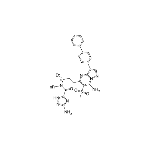 CCCN(C(=O)c1nc(N)n[nH]1)[C@H](CC)CCc1nc2c(-c3ccc(-c4ccccc4)nc3)cnn2c(N)c1S(C)(=O)=O